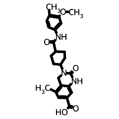 COc1cc(NC(=O)C2CCC(N3Cc4c(C)cc(C(=O)O)cc4NC3=O)CC2)ccc1C